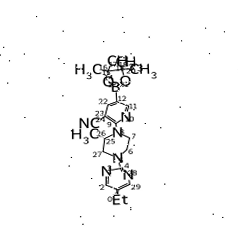 CCc1cnc(N2CCN(c3ncc(B4OC(C)(C)C(C)(C)O4)cc3C#N)[C@@H](C)C2)nc1